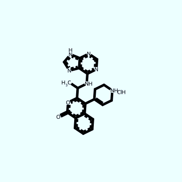 CC(Nc1ncnc2[nH]cnc12)c1oc(=O)c2ccccc2c1C1=CCNCC1.Cl